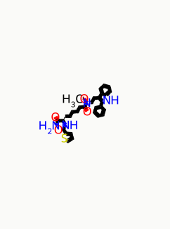 CON(CCc1c(-c2ccccc2)[nH]c2ccccc12)C(=O)CCCCC[C@H](NC(=O)c1cccs1)C(N)=O